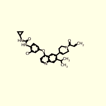 C=CC(=O)N1CC=C(c2cc3c(Oc4ccc(NC(=O)NC5CC5)c(Cl)c4)ccnc3cc2C(C)C)CC1